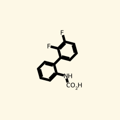 O=C(O)Nc1ccccc1-c1cccc(F)c1F